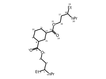 CCCC(CC)CCOC(=O)C1CCCC(C(=O)OCCC(CC)CCC)C1